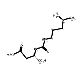 COC(=O)C[C@H](NC(=S)NCCCN(C)C)C(=O)O